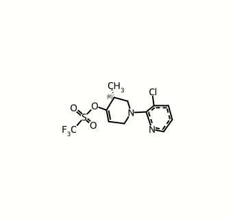 C[C@@H]1CN(c2ncccc2Cl)CC=C1OS(=O)(=O)C(F)(F)F